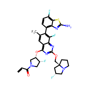 C=CC(=O)N1C[C@@H](F)[C@@H](Oc2nc(OC[C@@]34CCCN3C[C@H](F)C4)nc3c(F)c(-c4ccc(F)c5sc(N)nc45)c(C(F)(F)F)cc23)C1